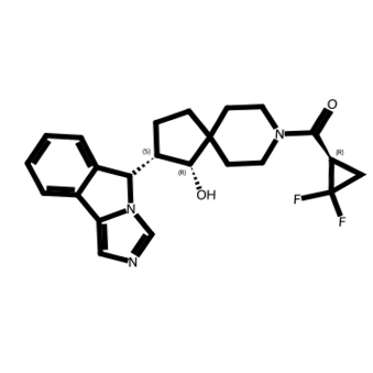 O=C([C@H]1CC1(F)F)N1CCC2(CC[C@@H](C3c4ccccc4-c4cncn43)[C@H]2O)CC1